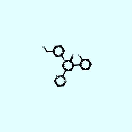 O=c1c(-c2ccccc2F)cc(-c2ncccn2)cn1-c1cccc(CO)c1